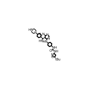 CC(C)(C)c1cc(NC(=O)Nc2ccc(Nc3ncnc(N)c3C(=N)c3ccc(N4CCNCC4)cc3)cc2)no1